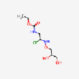 CCOC(=O)NCC(Cl)NOCC(O)CO